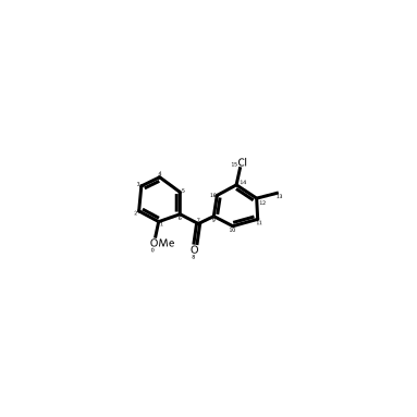 COc1ccccc1C(=O)c1ccc(C)c(Cl)c1